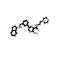 Nc1ncc(-c2cccc(CN[C@H]3CCc4ccccc43)c2)nc1C(=O)NCCN1CCOCC1